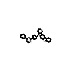 c1ccc(-c2ccnc(-c3ccc(-n4c5cc6sc7ccccc7c6cc5c5ncccc54)cc3)n2)cc1